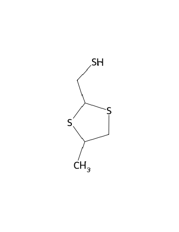 CC1CSC(CS)S1